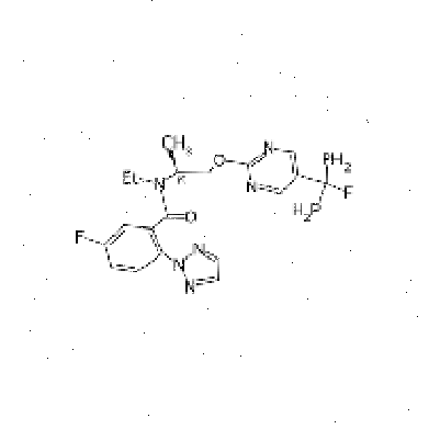 CCN(C(=O)c1cc(F)ccc1-n1nccn1)[C@@H](C)COc1ncc(C(F)(P)P)cn1